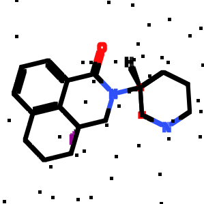 O=C1c2cccc3c2[C@](I)(CCC3)CN1[C@H]1CN2CCC1CC2